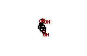 C[C@]12CC[C@H]3[C@@H](CC[C@@]45C[C@@H](O)CC[C@@]34O5)[C@@H]1CC[C@@H]2C1(CO)OCCO1